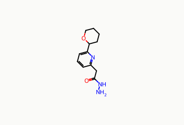 NNC(=O)Cc1cccc(C2CCCCO2)n1